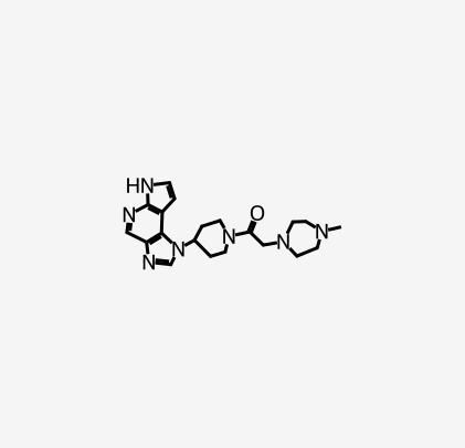 CN1CCN(CC(=O)N2CCC(n3cnc4cnc5[nH]ccc5c43)CC2)CC1